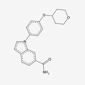 NC(=O)c1ccc2ccn(-c3ccc(OC4CCOCC4)cc3)c2c1